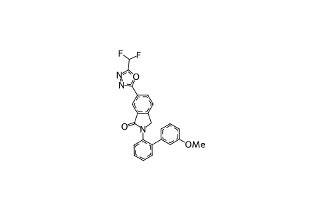 COc1cccc(-c2ccccc2N2Cc3ccc(-c4nnc(C(F)F)o4)cc3C2=O)c1